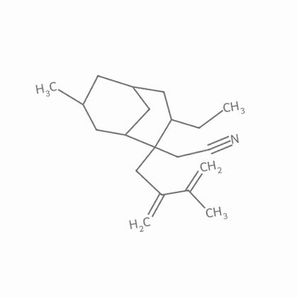 C=C(C)C(=C)CC1(CC#N)C(CC)CC2CC(C)CC1C2